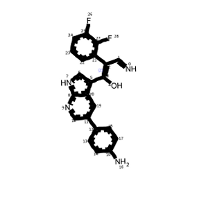 N=C/C(=C(\O)c1c[nH]c2ncc(-c3ccc(N)cc3)cc12)c1cccc(F)c1F